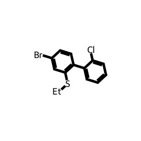 CCSc1cc(Br)ccc1-c1ccccc1Cl